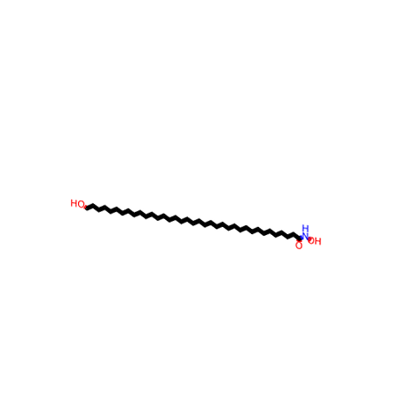 O=C(CCCCCCCCCCCCCCCCCCCCCCCCCCCCCCCCCCCCO)NO